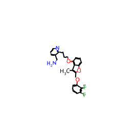 Cc1c(COc2cccc(F)c2F)oc2cccc(OCCCc3ncccc3CN)c12